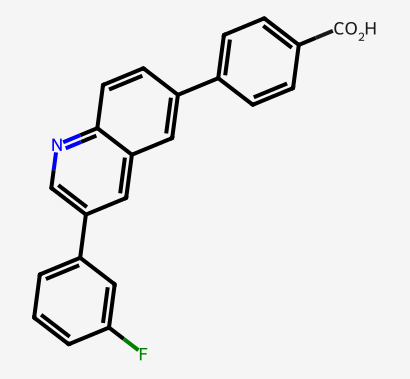 O=C(O)c1ccc(-c2ccc3ncc(-c4cccc(F)c4)cc3c2)cc1